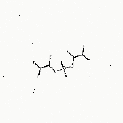 C[Si](C)(OC(F)C(F)F)OC(F)C(F)F